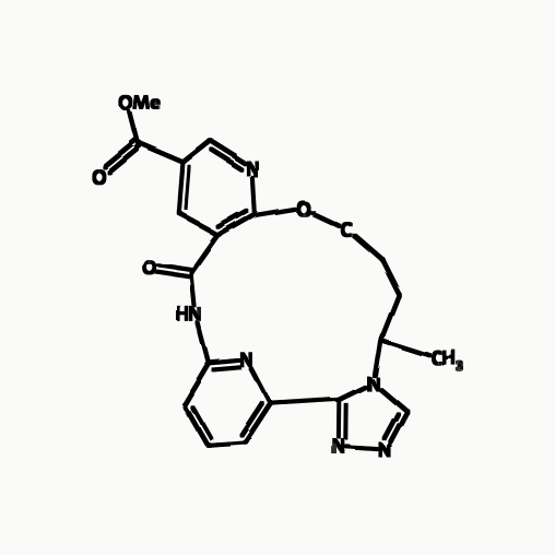 COC(=O)c1cnc2c(c1)C(=O)Nc1cccc(n1)-c1nncn1C(C)CCCO2